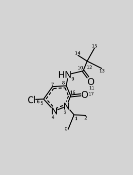 CC(C)n1nc(Cl)cc(NC(=O)C(C)(C)C)c1=O